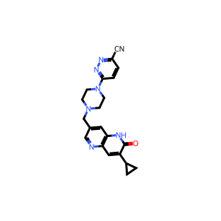 N#Cc1ccc(N2CCN(Cc3cnc4cc(C5CC5)c(=O)[nH]c4c3)CC2)nn1